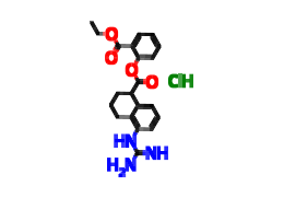 CCOC(=O)c1ccccc1OC(=O)C1CCCc2c(NC(=N)N)cccc21.Cl